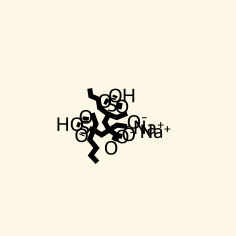 CCCCC(CC)(CC(CC(=O)[O-])(CC(CC)(CCCC)S(=O)(=O)O)C(=O)[O-])S(=O)(=O)O.[Na+].[Na+]